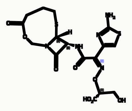 Nc1nc(/C(=N/O[C@H](CO)C(=O)O)C(=O)N[C@@H]2C(=O)N3COC(=O)CCCS[C@H]23)cs1